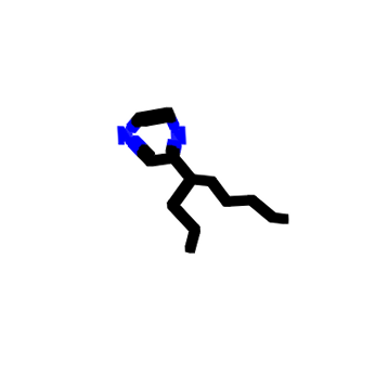 CCCCCC(CCC)c1cnccn1